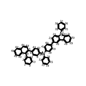 c1ccc(-c2c(-c3ccc(N(c4ccccc4)c4ccc(-c5ccc6c(c5)c5ccccc5n6-c5ccccc5)cc4)cc3)ccc3ccccc23)cc1